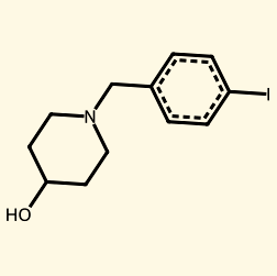 OC1CCN(Cc2ccc(I)cc2)CC1